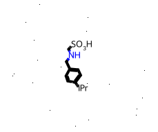 CC(C)c1ccc(CNCS(=O)(=O)O)cc1